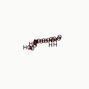 CCC(=O)OCc1ccc(NC(=O)COCC(=O)NCCOCCOCCOCCOCCOCCn2cc(CNC(=O)CCCCCN3C(=O)CC(CC)C3O)nn2)cc1